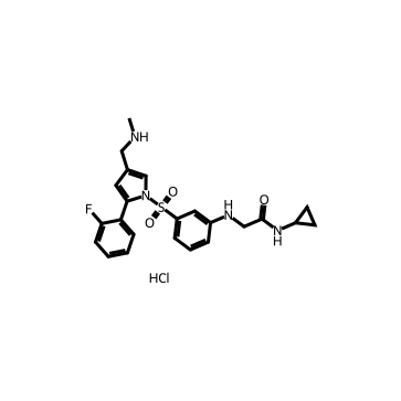 CNCc1cc(-c2ccccc2F)n(S(=O)(=O)c2cccc(NCC(=O)NC3CC3)c2)c1.Cl